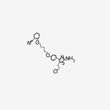 N#Cc1ccccc1OCCCCCOc1ccc(-c2nc(N)sc2CCCl)cc1